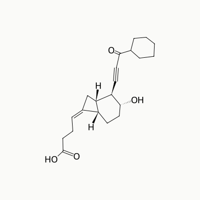 O=C(O)CC/C=C1/C[C@@H]2[C@@H](C#CC(=O)C3CCCCC3)[C@H](O)CC[C@H]12